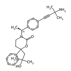 C[C@@H](c1ccc(C#CC(C)(C)N)cc1)N1CCC(CC(C)(C)O)(c2ccccc2)OC1=O